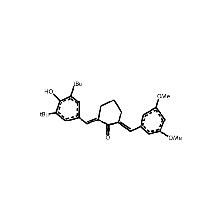 COc1cc(C=C2CCCC(=Cc3cc(C(C)(C)C)c(O)c(C(C)(C)C)c3)C2=O)cc(OC)c1